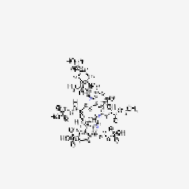 CCOC(=O)CC/C(=C\C=C1\N(CCCS(=O)(=O)O)c2ccc(S(=O)(=O)O)cc2C1(C)C)CC(/C=C/C1=[N+](CCCS(=O)(=O)O)c2ccc(S(=O)(=O)O)cc2C1(C)C)CCC(=O)NCCS(=O)(=O)O